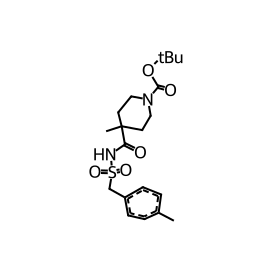 Cc1ccc(CS(=O)(=O)NC(=O)C2(C)CCN(C(=O)OC(C)(C)C)CC2)cc1